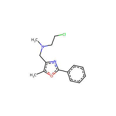 Cc1oc(-c2ccccc2)nc1CN(C)CCCl